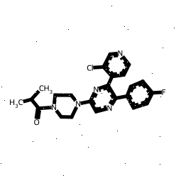 CC(C)C(=O)N1CCN(c2cnc(-c3ccc(F)cc3)c(-c3ccncc3Cl)n2)CC1